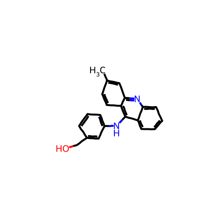 Cc1ccc2c(Nc3cccc(CO)c3)c3ccccc3nc2c1